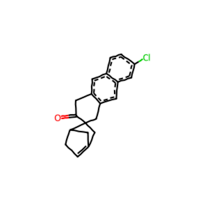 O=C1Cc2cc3ccc(Cl)cc3cc2CC12CC1=CCC2C1